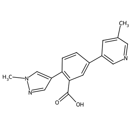 Cc1cncc(-c2ccc(-c3cnn(C)c3)c(C(=O)O)c2)c1